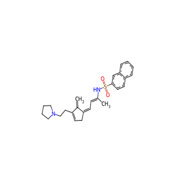 C=C1C(CCN2CCCC2)=CC/C1=C/C=C(\C)NS(=O)(=O)c1ccc2ccccc2c1